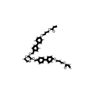 C=CC(=O)OCCCOc1ccc(-c2ccc(CO[C@H]3OCCO[C@@H]3OCc3ccc(-c4ccc(OCCCOC(=O)C=C)cc4)cc3)cc2)cc1